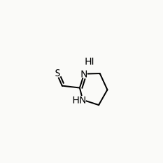 I.S=CC1=NCCCN1